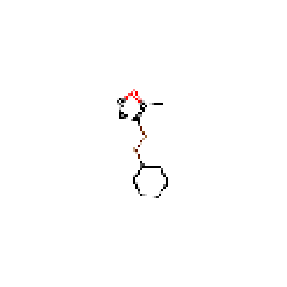 Cc1occc1SSC1CCCCC1